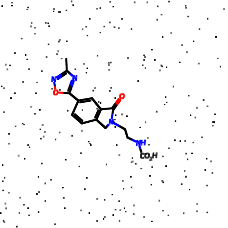 Cc1noc(-c2ccc3c(c2)C(=O)N(CCNC(=O)O)C3)n1